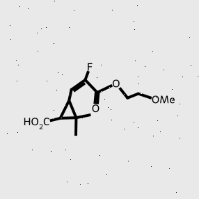 COCCOC(=O)/C(F)=C\C1C(C(=O)O)C1(C)C